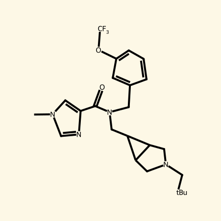 Cn1cnc(C(=O)N(Cc2cccc(OC(F)(F)F)c2)CC2C3CN(CC(C)(C)C)CC32)c1